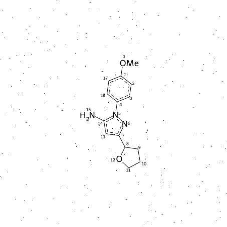 COc1ccc(-n2nc(C3CCCO3)cc2N)cc1